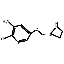 Nc1cc(OC[C@H]2CCN2)cnc1Cl